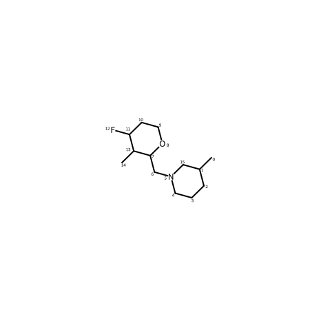 CC1CCCN(CC2OCCC(F)C2C)C1